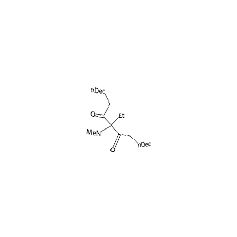 CCCCCCCCCCCC(=O)C(CC)(NC)C(=O)CCCCCCCCCCC